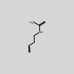 C=CCCNC(=C)N